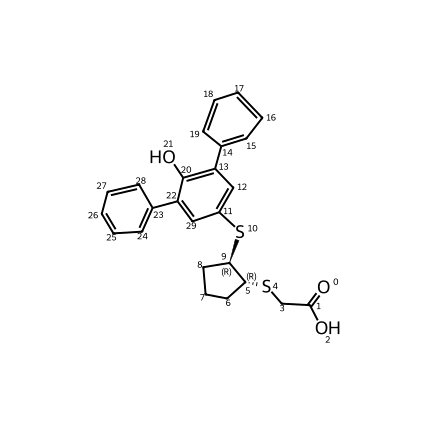 O=C(O)CS[C@@H]1CCC[C@H]1Sc1cc(-c2ccccc2)c(O)c(-c2ccccc2)c1